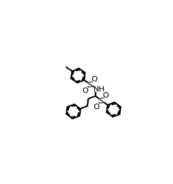 Cc1ccc(S(=O)(=O)NC(CCc2ccccc2)S(=O)(=O)c2ccccc2)cc1